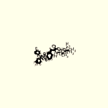 CC(C)(OC(=O)NC(Cc1cccc(S(=O)(=O)N2CC(Oc3ccc(F)cc3)(c3ccccc3)C2)c1)C(=O)O)OC(=O)C(C)(C)C